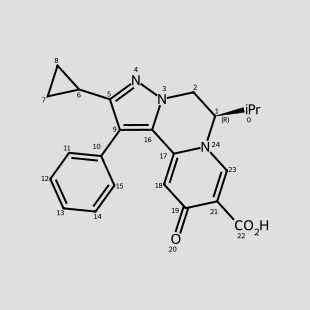 CC(C)[C@@H]1Cn2nc(C3CC3)c(-c3ccccc3)c2-c2cc(=O)c(C(=O)O)cn21